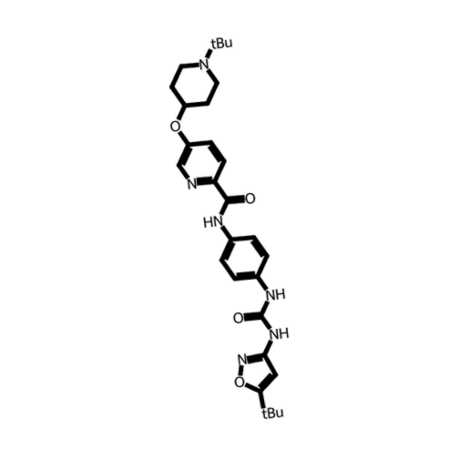 CC(C)(C)c1cc(NC(=O)Nc2ccc(NC(=O)c3ccc(OC4CCN(C(C)(C)C)CC4)cn3)cc2)no1